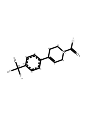 O=C(Cl)N1CC=C(c2ccc(C(F)(F)F)cc2)CC1